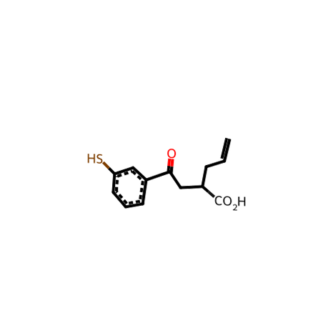 C=CCC(CC(=O)c1cccc(S)c1)C(=O)O